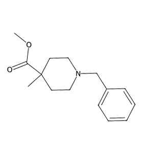 COC(=O)C1(C)CCN(Cc2ccccc2)CC1